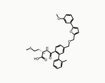 COc1cccc(-c2ccc(COCc3ccc(C(=O)N[C@@H](CCSC)C(=O)O)c(-c4ccccc4C)c3)o2)c1